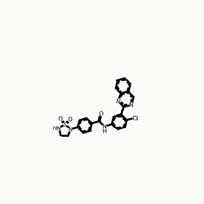 O=C(Nc1ccc(Cl)c(-c2ncc3ccccc3n2)c1)c1ccc(N2CCNS2(=O)=O)cc1